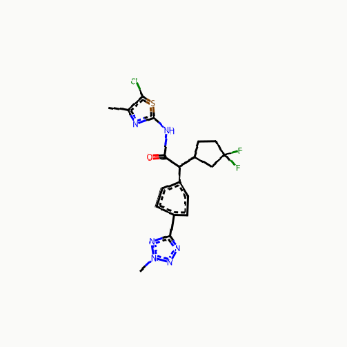 Cc1nc(NC(=O)C(c2ccc(-c3nnn(C)n3)cc2)C2CCC(F)(F)C2)sc1Cl